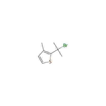 Cc1ccsc1C(C)(C)Br